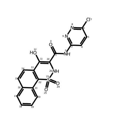 O=C(Nc1ccc(Cl)nn1)C1=C(O)c2ccc3ccccc3c2S(=O)(=O)N1